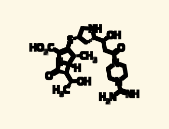 C[C@@H](O)[C@H]1C(=O)N2C(C(=O)O)=C(S[C@@H]3CN[C@H]([C@@H](O)CC(=O)N4CCN(C(=N)N)CC4)C3)[C@H](C)[C@H]12